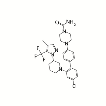 Cc1cnn(C2CCCN(c3cc(Cl)ccc3-c3ccc(N4CCN(C(N)=O)CC4)cc3)C2)c1C(F)(F)F